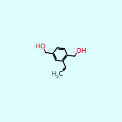 C=Cc1cc(CO)ccc1CO